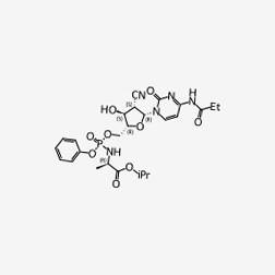 CCC(=O)Nc1ccn([C@@H]2O[C@H](COP(=O)(N[C@H](C)C(=O)OC(C)C)Oc3ccccc3)[C@@H](O)[C@@H]2C#N)c(=O)n1